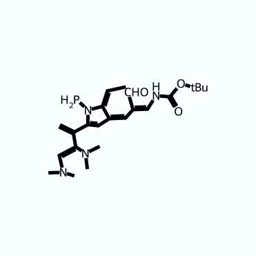 C=C(/C(=C/N(C)C)N(C)C)c1cc(=C/C(C=O)=C/NC(=O)OC(C)(C)C)/c(=C\C)n1P